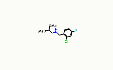 COC(CNCc1ccc(F)cc1Cl)OC